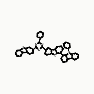 c1ccc(-c2nc(-c3ccc4c(c3)sc3ccccc34)nc(-c3ccc4oc5c(-c6cccc7c8ccccc8n(-c8ccccc8)c67)cccc5c4c3)n2)cc1